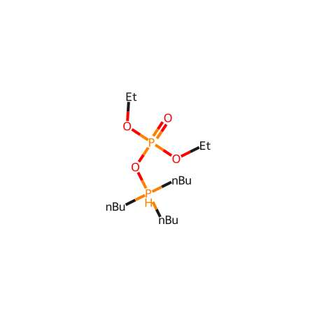 CCCC[PH](CCCC)(CCCC)OP(=O)(OCC)OCC